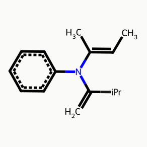 C=C(C(C)C)N(/C(C)=C/C)c1ccccc1